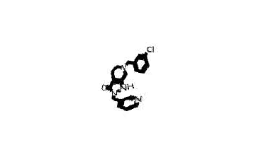 O=c1c2c([nH]n1Cc1cccnc1)CN(Cc1cccc(Cl)c1)CC2